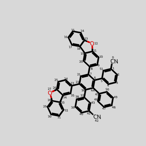 N#Cc1cccc(-c2c(-c3ccc4oc5ccccc5c4c3)cc(-c3ccc4oc5ccccc5c4c3)c(-c3cccc(C#N)c3)c2-c2ccccc2)c1